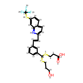 O=C(O)CCSC(SCCCO)c1cccc(C=Cc2ccc3ccc(SC(F)(F)F)cc3n2)c1